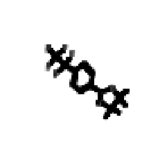 CC1(C)OB(c2ccc(C(F)(F)C(F)(F)F)cc2)OC1(C)C